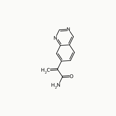 C=C(C(N)=O)c1ccc2cncnc2c1